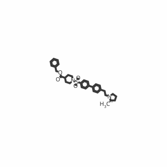 C[C@@H]1CCCN1CCc1ccc(-c2ccc(S(=O)(=O)N3CCC(C(=O)OCc4ccccc4)CC3)cc2)cc1